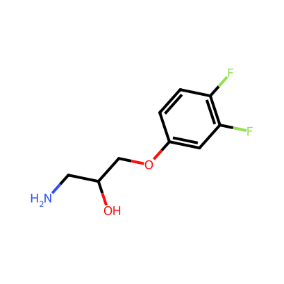 NCC(O)COc1ccc(F)c(F)c1